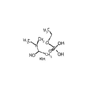 CC(O)N(C)C.CCOP(=O)(O)O.[KH]